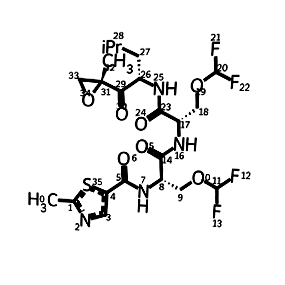 Cc1ncc(C(=O)N[C@@H](COC(F)F)C(=O)N[C@@H](COC(F)F)C(=O)N[C@@H](CC(C)C)C(=O)[C@@]2(C)CO2)s1